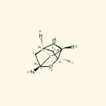 C1[C@@H]2C[C@@H]3O[C@H]1C[C@@H]3N2